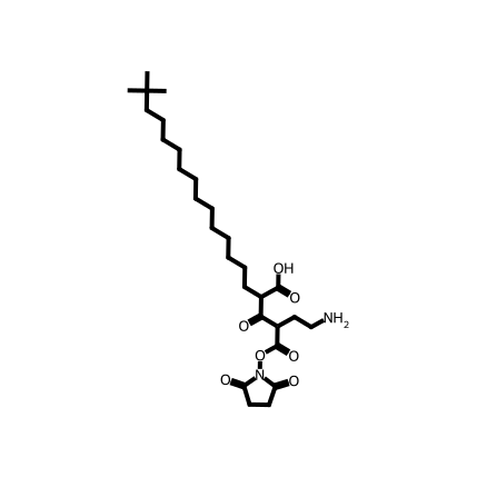 CC(C)(C)CCCCCCCCCCCCCC(C(=O)O)C(=O)C(CCN)C(=O)ON1C(=O)CCC1=O